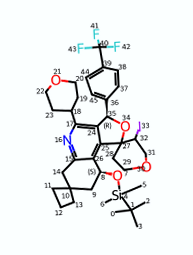 CC(C)(C)[Si](C)(C)O[C@H]1CC2(CCC2)Cc2nc(C3CCOCC3)c3c(c21)C1(CCOCC1I)O[C@@H]3c1ccc(C(F)(F)F)cc1